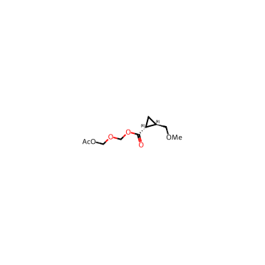 COC[C@@H]1C[C@H]1C(=O)OCOCOC(C)=O